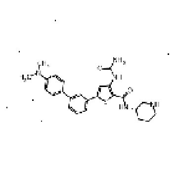 CN(C)c1ccc(-c2cccc(-c3cc(NC(N)=O)c(C(=O)N[C@H]4CCCNC4)s3)c2)cc1